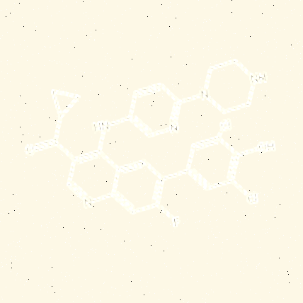 O=C(c1cnc2cc(F)c(-c3cc(Cl)c(O)c(Cl)c3)cc2c1Nc1ccc(N2CCNCC2)nc1)C1CC1